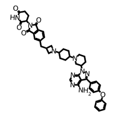 Nc1ncnc2c1c(-c1ccc(Oc3ccccc3)cc1)nn2C1CCCN(C2CCC(N3CC(Cc4ccc5c(c4)C(=O)N(C4CCC(=O)NC4=O)C5=O)C3)CC2)C1